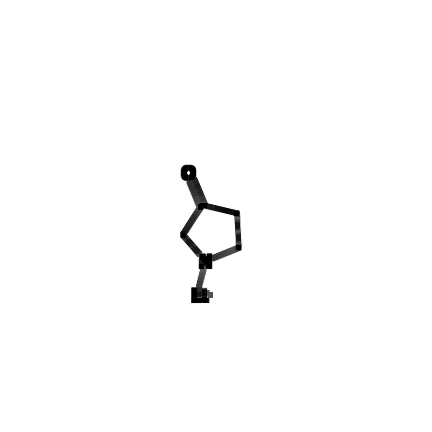 C[CH]N1CCC(=O)C1